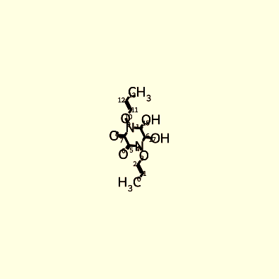 CC=CON1C(=O)C(=O)N(OC=CC)C(O)C1O